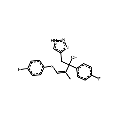 CC(=CSc1ccc(F)cc1)C(O)(Cc1c[nH]nn1)c1ccc(F)cc1